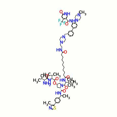 Cc1ncsc1-c1ccc([C@H](C)NC(=O)[C@@H]2C[C@@H](OC(=O)[C@@H](NC(=O)[C@@H](N)C(C)C)C(C)C)CN2C(=O)[C@@H](NC(=O)CCCCCCCCCC(=O)NCCN2CCN(Cc3cccc(-c4ccc(N5CCN(C)CC5)c(NC(=O)c5c[nH]c(=O)cc5C(F)(F)F)c4)c3)CC2)C(C)(C)C)cc1